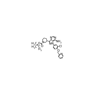 CC(C)(C)OC(=O)N1CCCC(c2nn(-c3ccc(OCc4ccccn4)c(Cl)c3)c3c(N)ncnc23)C1